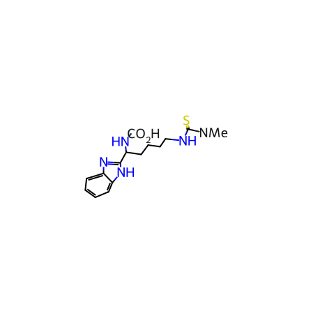 CNC(=S)NCCCCC(NC(=O)O)c1nc2ccccc2[nH]1